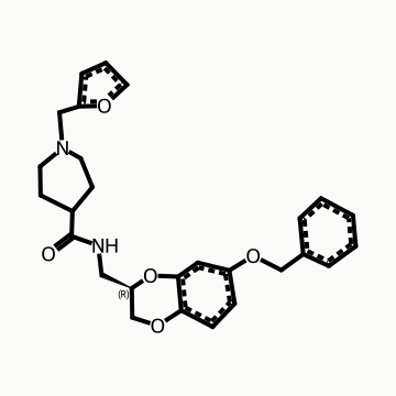 O=C(NC[C@@H]1COc2ccc(OCc3ccccc3)cc2O1)C1CCN(Cc2ccco2)CC1